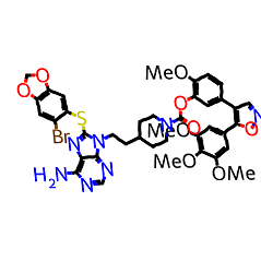 COc1ccc(-c2cnoc2-c2cc(OC)c(OC)c(OC)c2)cc1OC(=O)N1CCC(CCn2c(Sc3cc4c(cc3Br)OCO4)nc3c(N)ncnc32)CC1